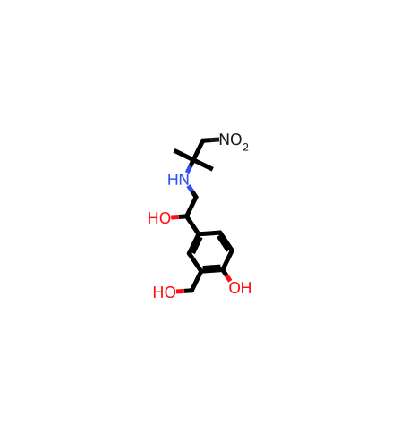 CC(C)(C[N+](=O)[O-])NCC(O)c1ccc(O)c(CO)c1